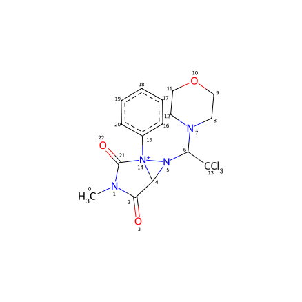 CN1C(=O)C2N(C(N3CCOCC3)C(Cl)(Cl)Cl)[N+]2(c2ccccc2)C1=O